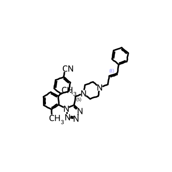 Cc1cccc(C)c1-n1nnnc1[C@H](C1C=C(C#N)C=CC1)N1CCN(C/C=C/c2ccccc2)CC1